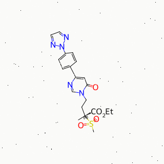 CCOC(=O)[C@@](C)(CCn1cnc(-c2ccc(-n3nccn3)cc2)cc1=O)S(C)(=O)=O